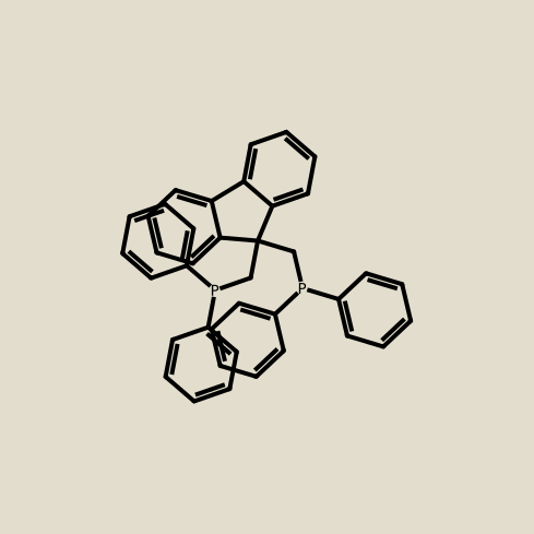 c1ccc(P(CC2(CP(c3ccccc3)c3ccccc3)c3ccccc3-c3ccccc32)c2ccccc2)cc1